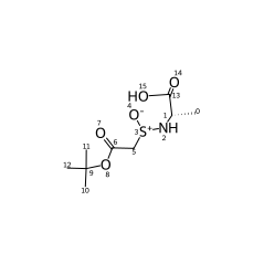 C[C@H](N[S+]([O-])CC(=O)OC(C)(C)C)C(=O)O